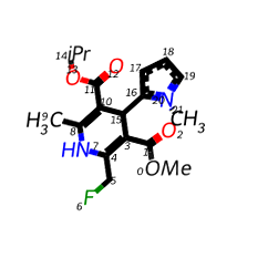 COC(=O)C1=C(CF)NC(C)=C(C(=O)OC(C)C)C1c1cccn1C